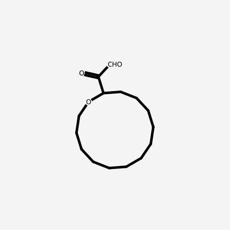 O=CC(=O)C1CCCCCCCCCCCCO1